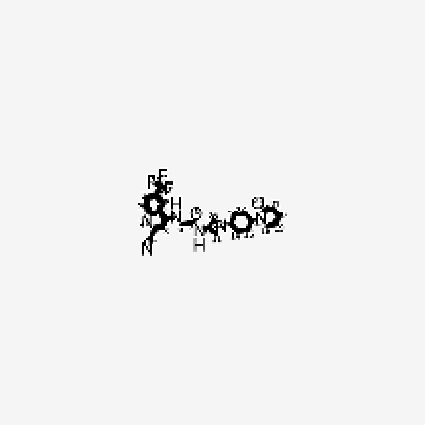 N#Cc1cc(NCC(=O)NC2CN([C@H]3CC[C@@H](n4ccccc4=O)CC3)C2)c2cc(C(F)(F)F)ccc2n1